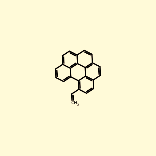 C=Cc1ccc2ccc3ccc4ccc5cccc6c1c2c3c4c56